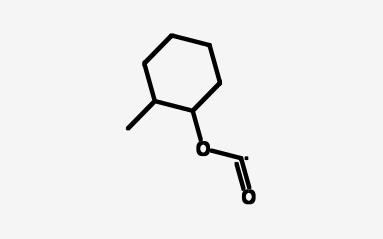 CC1CCCCC1O[C]=O